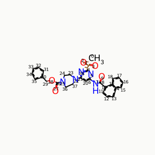 CS(=O)(=O)c1nc(NC(=O)c2cccc3ccccc23)cc(N2CCN(C(=O)OCc3ccccc3)CC2)n1